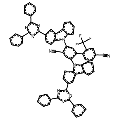 N#Cc1ccc(-c2cc(-n3c4ccccc4c4cc(-c5nc(-c6ccccc6)nc(-c6ccccc6)n5)ccc43)c(C#N)cc2-n2c3ccccc3c3cc(-c4nc(-c5ccccc5)nc(-c5ccccc5)n4)ccc32)c(C(F)(F)F)c1